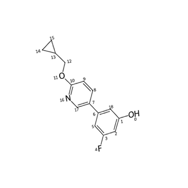 Oc1cc(F)cc(-c2ccc(OCC3CC3)nc2)c1